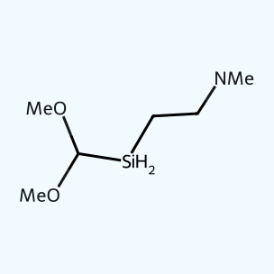 CNCC[SiH2]C(OC)OC